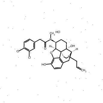 C=CCN1CC[C@]23c4c5ccc(O)c4O[C@H]2[C@@H](N(C)C(=O)Cc2ccc(Cl)c(Cl)c2)CC[C@@]3(O)[C@H]1C5.Cl